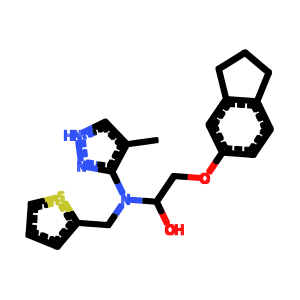 Cc1c[nH]nc1N(Cc1cccs1)C(O)COc1ccc2c(c1)CCC2